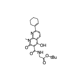 Cn1c(=O)c(C(=O)NCC(=O)OC(C)(C)C)c(O)c2ccc(C3=CCCCC3)nc21